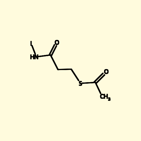 CC(=O)SCCC(=O)NI